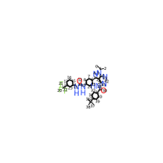 CC(C)n1nc(-c2ccc(NC(=O)Nc3cccc(C(F)(F)F)c3)cc2)c2c(NC(=O)c3ccc(C(C)(C)C)cc3)ncnc21